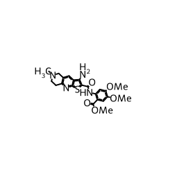 COC(=O)c1cc(OC)c(OC)cc1NC(=O)c1sc2nc3c(cc2c1N)CN(C)CC3